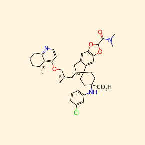 C[C@@H](COc1ccnc2c1[C@H](C)CCC2)C[C@H]1Cc2cc3c(cc2C12CCC(Nc1cccc(Cl)c1)(C(=O)O)CC2)OC(C(=O)N(C)C)O3